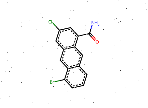 NC(=O)c1cc(Cl)cc2cc3c(Br)cccc3cc12